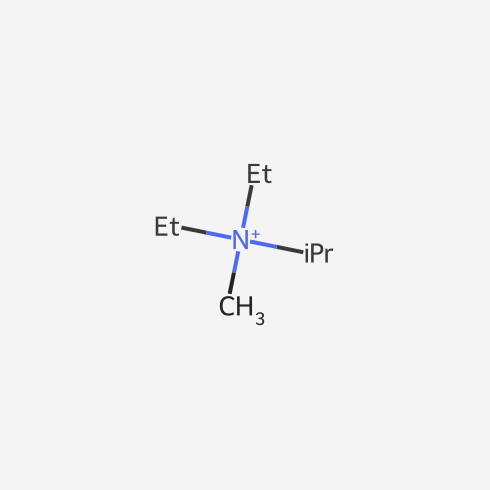 [CH2]C(C)[N+](C)(CC)CC